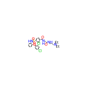 CCN(CC)CCCNC(=O)CNC(=O)c1ccc(S(=O)(=O)Nc2ccccc2Oc2ccc(Cl)cc2Cl)cc1